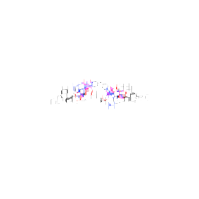 CCCCCCCCCCCON1C(C)(C)CC2(CC1(C)C)NC(=O)N(C1CCC(CC3CCC(N4C(=O)NC5(CC(C)(C)N(OCCCCCCCCCCC)C(C)(C)C5)C4=O)CC3)CC1)C2=O